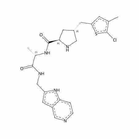 Cc1cc(C[C@@H]2CN[C@@H](C(=O)N[C@@H](C)C(=O)NCc3cc4cnccc4[nH]3)C2)sc1Cl